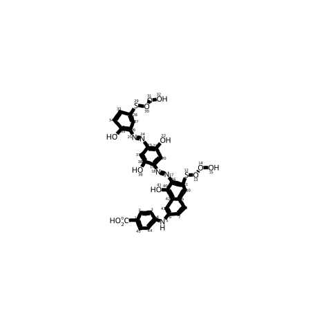 O=C(O)c1ccc(Nc2ccc3cc(SOOO)c(N=Nc4cc(O)c(N=Nc5cc(SOOO)ccc5O)cc4O)c(O)c3c2)cc1